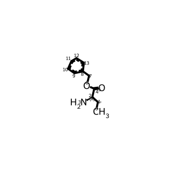 C[CH][C@@H](N)C(=O)OCc1ccccc1